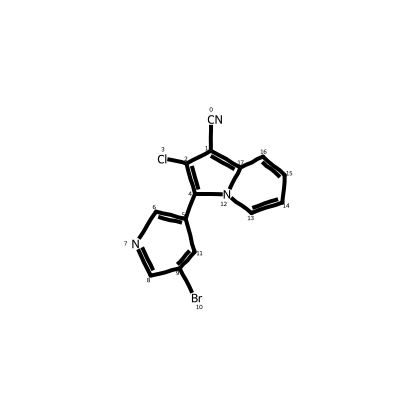 N#Cc1c(Cl)c(-c2cncc(Br)c2)n2ccccc12